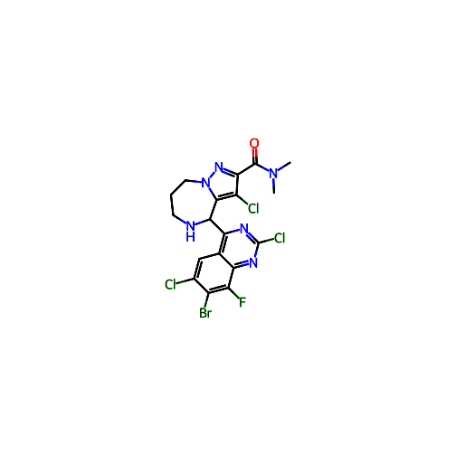 CN(C)C(=O)c1nn2c(c1Cl)C(c1nc(Cl)nc3c(F)c(Br)c(Cl)cc13)NCCC2